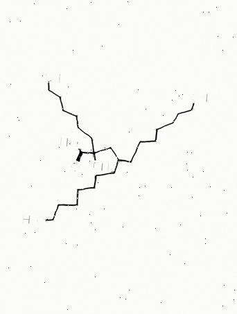 CCCCCCCCC(CCCCCCCC)CC(C)(CCCCCCC)C(=O)O